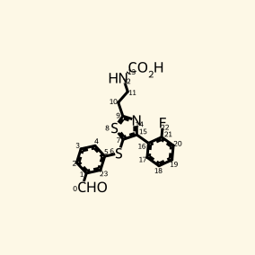 O=Cc1cccc(Sc2sc(CCNC(=O)O)nc2-c2ccccc2F)c1